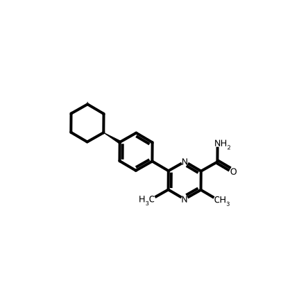 Cc1nc(C)c(-c2ccc([C@@H]3C[CH]CCC3)cc2)nc1C(N)=O